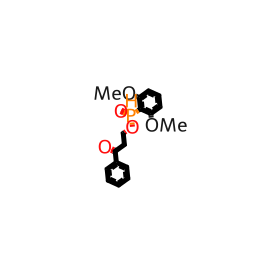 COc1cccc(OC)c1[PH](=O)OCCC(=O)c1ccccc1